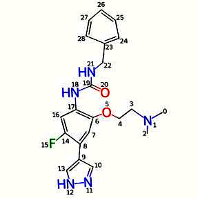 CN(C)CCOc1cc(-c2cn[nH]c2)c(F)cc1NC(=O)NCc1ccccc1